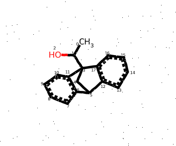 CC(O)C12CC(c3ccccc31)c1ccccc12